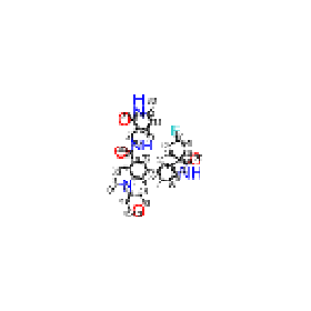 CCN(c1cc(-c2ccc3c(c2)C2(CCC(F)CC2)C(=O)N3)cc(C(=O)NCc2c(C)cc(C)[nH]c2=O)c1C)C1CCOCC1